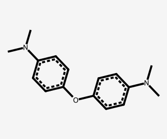 CN(C)c1ccc(Oc2ccc(N(C)C)cc2)cc1